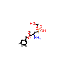 NC(CCP(=O)(O)OCO)C(=O)OCc1ccccc1